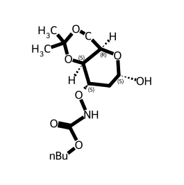 CCCCOC(=O)NO[C@H]1C[C@@H](O)O[C@@H]2COC(C)(C)O[C@H]12